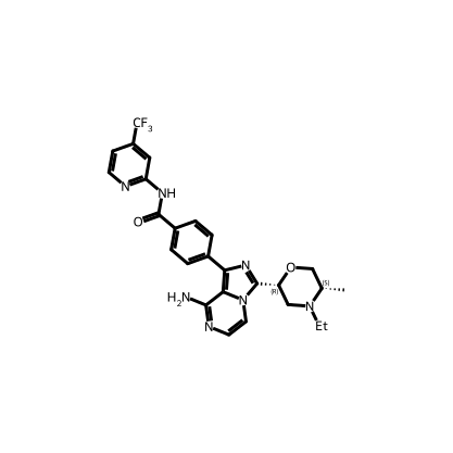 CCN1C[C@H](c2nc(-c3ccc(C(=O)Nc4cc(C(F)(F)F)ccn4)cc3)c3c(N)nccn23)OC[C@@H]1C